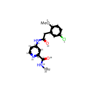 COc1ccc(Cl)cc1CC(=O)Nc1ccnc(C(=O)NC(C)(C)C)c1